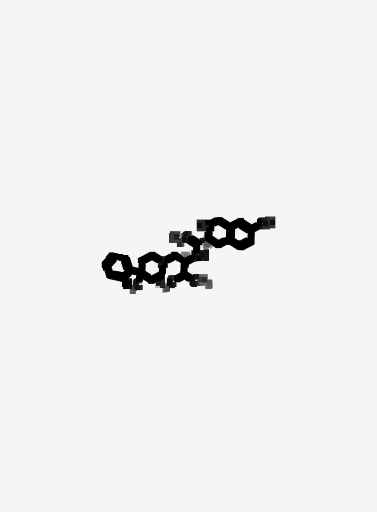 C=C(N[C@H](CN1CCC(C)(c2ccccc2)CC1)C(C)C)[C@H]1Cc2ccc(O)cc2CN1